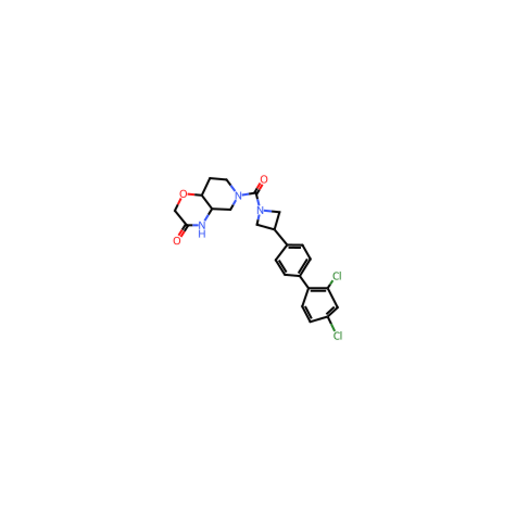 O=C1COC2CCN(C(=O)N3CC(c4ccc(-c5ccc(Cl)cc5Cl)cc4)C3)CC2N1